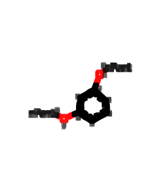 CCCCCOc1c[c]cc(OCCCCC)c1